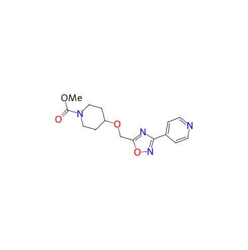 COC(=O)N1CCC(OCc2nc(-c3ccncc3)no2)CC1